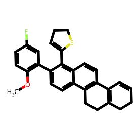 COc1ccc(F)cc1-c1ccc2c3c(ccc2c1C1=CCCS1)C1=C(CCC=C1)CC3